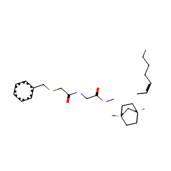 O=C(O)CCC/C=C\C[C@@H]1[C@@H]2CC[C@@H](C2)[C@@H]1CNC(=O)CNC(=O)CSCc1ccccc1